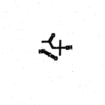 CC(=O)CC(C)(C)O.N=C=O